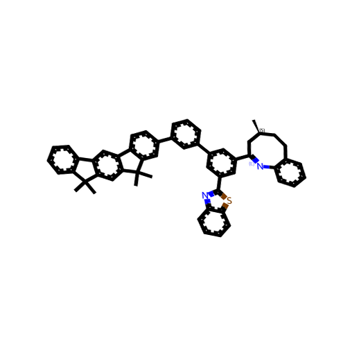 C[C@H]1CCc2ccccc2/N=C(/c2cc(-c3cccc(-c4ccc5c(c4)C(C)(C)c4cc6c(cc4-5)-c4ccccc4C6(C)C)c3)cc(-c3nc4ccccc4s3)c2)C1